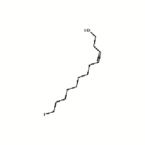 OCC/C=C\CCCCCCCCF